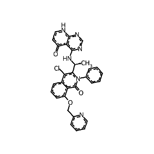 C[C@H](Nc1ncnc2[nH]ccc(=O)c12)c1c(Cl)c2cccc(OCc3ccccn3)c2c(=O)n1-c1ccccc1